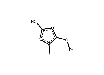 CCOc1oc(C#N)nc1C